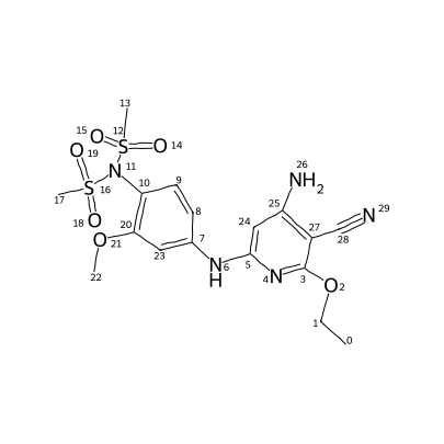 CCOc1nc(Nc2ccc(N(S(C)(=O)=O)S(C)(=O)=O)c(OC)c2)cc(N)c1C#N